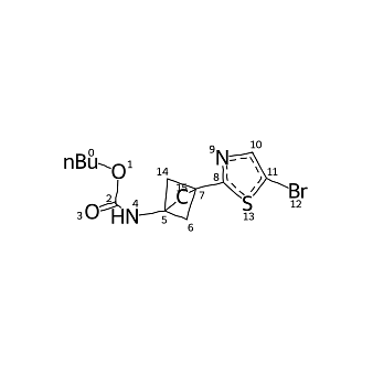 CCCCOC(=O)NC12CC(c3ncc(Br)s3)(C1)C2